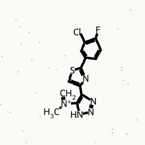 C=[N+](C)c1[nH]nnc1-c1csc(-c2ccc(F)c(Cl)c2)n1